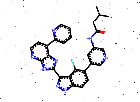 CC(C)CC(=O)Nc1cncc(-c2ccc3[nH]nc(-c4nc5c(-c6ccccn6)ccnc5[nH]4)c3c2F)c1